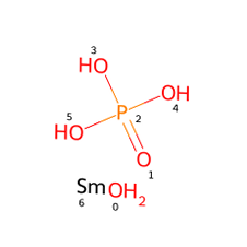 O.O=P(O)(O)O.[Sm]